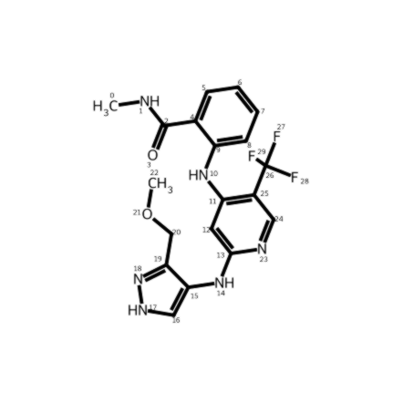 CNC(=O)c1ccccc1Nc1cc(Nc2c[nH]nc2COC)ncc1C(F)(F)F